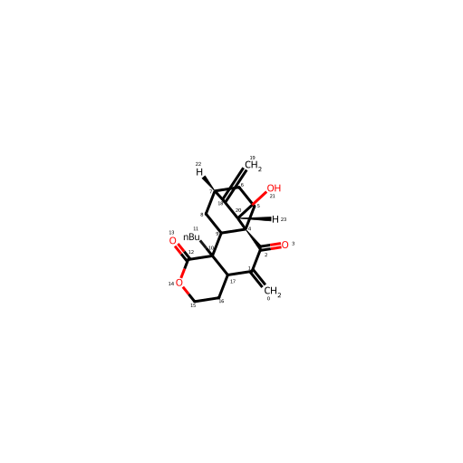 C=C1C(=O)[C@@]23CC[C@@H](CC2C2(CCCC)C(=O)OCCC12)C(=C)[C@@H]3O